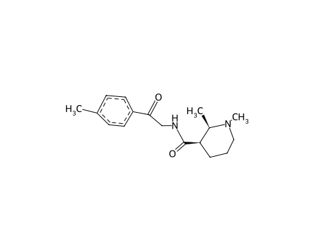 Cc1ccc(C(=O)CNC(=O)[C@@H]2CCCN(C)[C@@H]2C)cc1